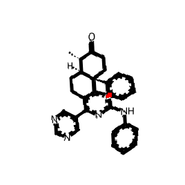 C[C@@H]1C(=O)CC[C@]2(c3ccccc3)c3nc(Nc4ccccc4)nc(-c4cncnc4)c3CC[C@@H]12